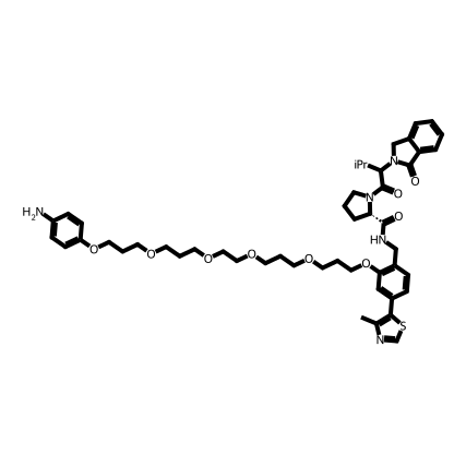 Cc1ncsc1-c1ccc(CNC(=O)[C@@H]2CCCN2C(=O)C(C(C)C)N2Cc3ccccc3C2=O)c(OCCCOCCCOCCOCCCOCCCOc2ccc(N)cc2)c1